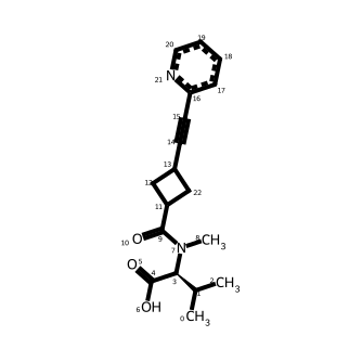 CC(C)[C@@H](C(=O)O)N(C)C(=O)C1CC(C#Cc2ccccn2)C1